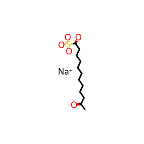 CC(=O)CCCCCCCCCC(=O)S(=O)(=O)[O-].[Na+]